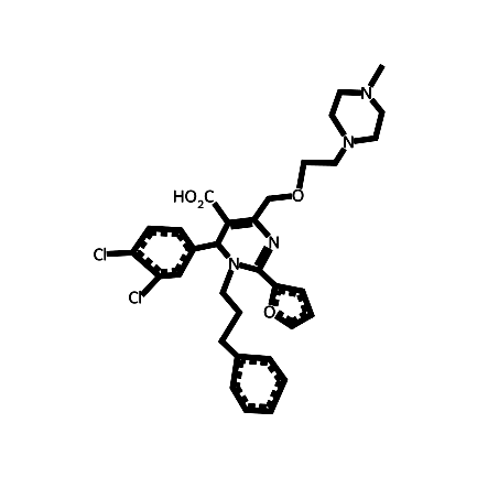 CN1CCN(CCOCC2=C(C(=O)O)C(c3ccc(Cl)c(Cl)c3)N(CCCc3ccccc3)C(c3ccco3)=N2)CC1